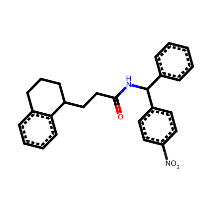 O=C(CCC1CCCc2ccccc21)NC(c1ccccc1)c1ccc([N+](=O)[O-])cc1